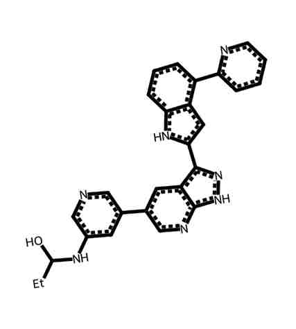 CCC(O)Nc1cncc(-c2cnc3[nH]nc(-c4cc5c(-c6ccccn6)cccc5[nH]4)c3c2)c1